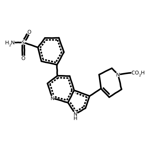 NS(=O)(=O)c1cccc(-c2cnc3[nH]cc(C4=CCN(C(=O)O)CC4)c3c2)c1